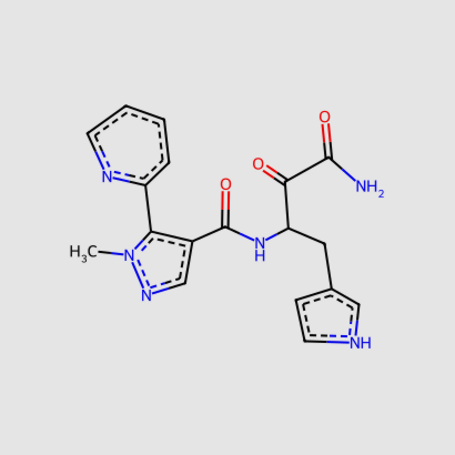 Cn1ncc(C(=O)NC(Cc2cc[nH]c2)C(=O)C(N)=O)c1-c1ccccn1